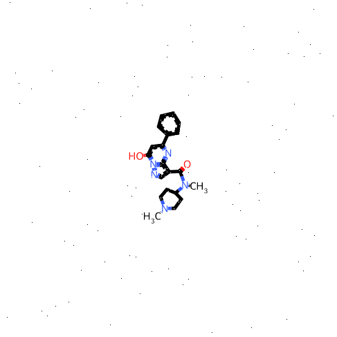 CN1CCC(N(C)C(=O)c2cnn3c(O)cc(-c4ccccc4)nc23)CC1